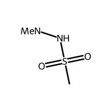 CNNS(C)(=O)=O